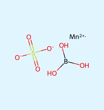 O=S(=O)([O-])[O-].OB(O)O.[Mn+2]